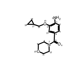 Nc1ccc(C(=O)N2CCOCC2)cc1OCC1CC1